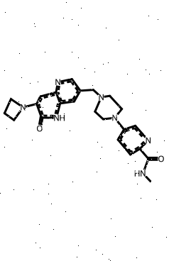 CNC(=O)c1ccc(N2CCN(Cc3cnc4cc(N5CCC5)c(=O)[nH]c4c3)CC2)cn1